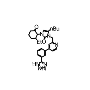 CCCCc1cn(C2C(=O)CCCC2CC)c(=O)n1Cc1cc(-c2cccc(-c3nnn[nH]3)c2)ccn1